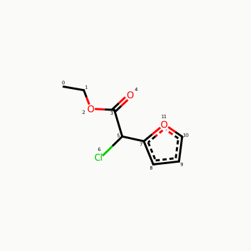 CCOC(=O)C(Cl)c1ccco1